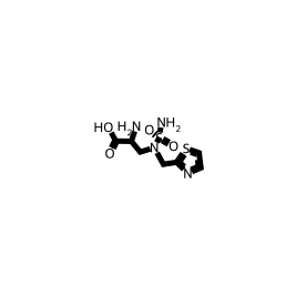 NC(CN(Cc1nccs1)S(N)(=O)=O)C(=O)O